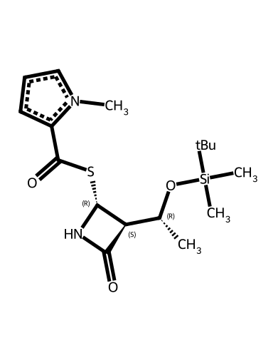 C[C@@H](O[Si](C)(C)C(C)(C)C)[C@H]1C(=O)N[C@@H]1SC(=O)c1cccn1C